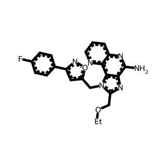 CCOCc1nc2c(N)nc3cccnc3c2n1Cc1cc(-c2ccc(F)cc2)no1